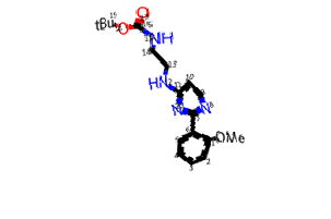 COc1ccccc1-c1nccc(NCCNC(=O)OC(C)(C)C)n1